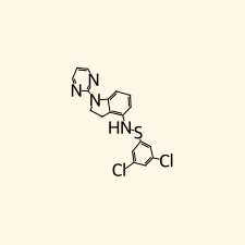 Clc1cc(Cl)cc(SNc2cccc3c2CCN3c2ncccn2)c1